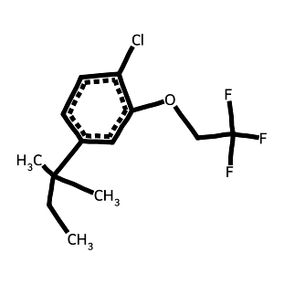 CCC(C)(C)c1ccc(Cl)c(OCC(F)(F)F)c1